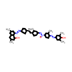 COc1cc(N=[N+]([O-])c2ccc(N=Nc3cc(C)c(O)c(C)c3)c(C)c2)ccc1C=Cc1ccc(N=Nc2cc(C)cc3cc(C)cc(O)c23)cc1